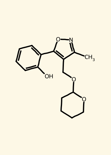 Cc1noc(-c2ccccc2O)c1COC1CCCCO1